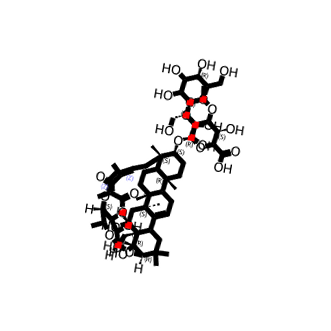 C/C=C(/C)C(=O)OC1C(O)[C@H]2OC(C)[C@@H]1OC(=O)/C(C)=C\C[C@@]1(C)C3CC[C@]4(C)C(CC=C5C6CC(C)(C)[C@@H](O2)[C@H](O)[C@]6(CO)[C@H](O)C[C@]54C)[C@@]3(C)CC[C@@H]1O[C@@H]1OC(C(=O)O)[C@@H](O)C(OC(C)O[C@@H](CO)C(O)CO)C1O[C@@H]1OC(CO)[C@H](O)C(O)C1O